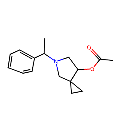 CC(=O)OC1CN(C(C)c2ccccc2)CC12CC2